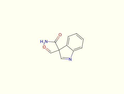 NC(=O)C1(C=O)C=Nc2ccccc21